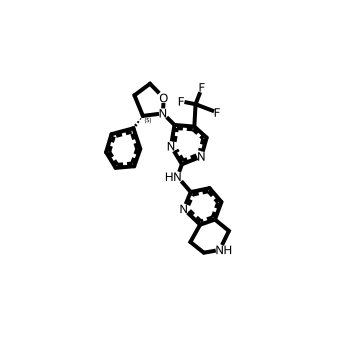 FC(F)(F)c1cnc(Nc2ccc3c(n2)CCNC3)nc1N1OCC[C@H]1c1ccccc1